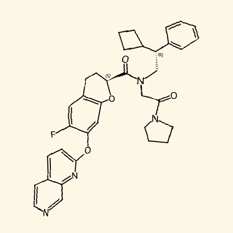 O=C(CN(C[C@@H](c1ccccc1)C1CCC1)C(=O)[C@@H]1CCc2cc(F)c(Oc3ccc4ccncc4n3)cc2O1)N1CCCC1